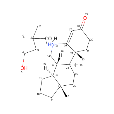 CC(C)(CCO)C(=O)O.C[C@@]12CCC[C@H]1[C@@H]1CNC3=CC(=O)CC[C@]3(C)[C@H]1CC2